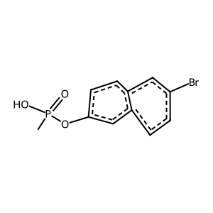 CP(=O)(O)Oc1ccc2cc(Br)ccc2c1